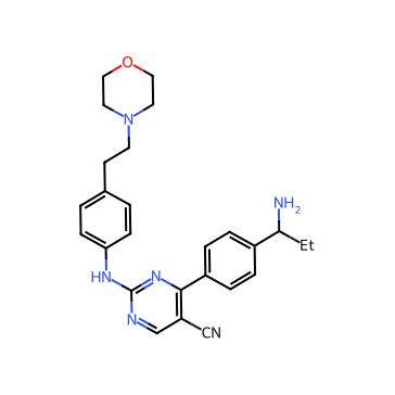 CCC(N)c1ccc(-c2nc(Nc3ccc(CCN4CCOCC4)cc3)ncc2C#N)cc1